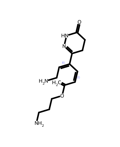 C=C(/C=C\C(=C/CN)C1=NNC(=O)CC1)OCCCN